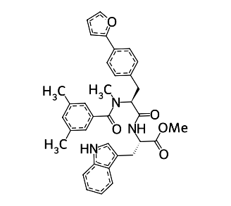 COC(=O)[C@H](Cc1c[nH]c2ccccc12)NC(=O)[C@H](Cc1ccc(-c2ccco2)cc1)N(C)C(=O)c1cc(C)cc(C)c1